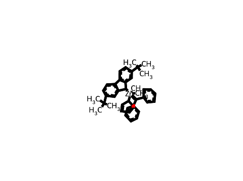 CC(C)(C)c1ccc2c(c1)[CH]([Zr]([CH3])([CH3])(=[C](c1ccccc1)c1ccccc1)[CH]1C=CC=C1)c1cc(C(C)(C)C)ccc1-2